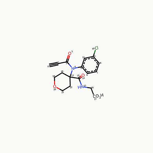 C#CC(=O)N(c1cccc(Cl)c1)C1(C(=O)NCC(=O)O)CCOCC1